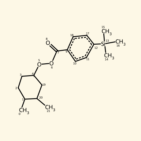 CC1CC[C](OOC(=O)c2ccc([Si](C)(C)C)cc2)CC1C